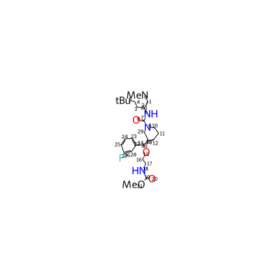 CNC[C@H](CCC(C)(C)C)NC(=O)N1CCC[C@@H]([C@@H](OCCNC(=O)OC)c2cccc(F)c2)C1